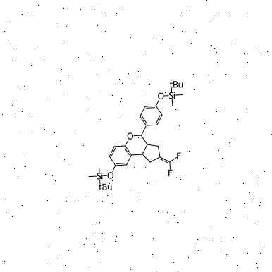 CC(C)(C)[Si](C)(C)Oc1ccc(C2Oc3ccc(O[Si](C)(C)C(C)(C)C)cc3C3CC(=C(F)F)CC32)cc1